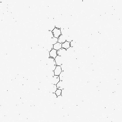 c1ccc(C2Cc3cnc(N4CCN(CCn5cccc5)CC4)nc3-c3ccccc32)cc1